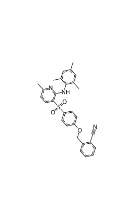 Cc1cc(C)c(Nc2nc(C)ccc2S(=O)(=O)c2ccc(OCc3ccccc3C#N)cc2)c(C)c1